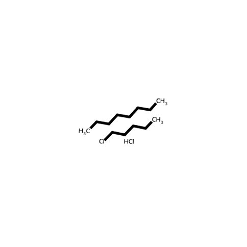 CCCCCCCC.CCCCCCl.Cl